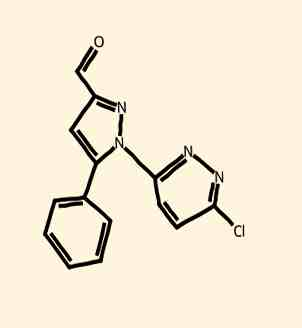 O=Cc1cc(-c2ccccc2)n(-c2ccc(Cl)nn2)n1